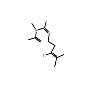 C=C(C)N(C)/C(C)=N\CC/C(CC)=C(\C)F